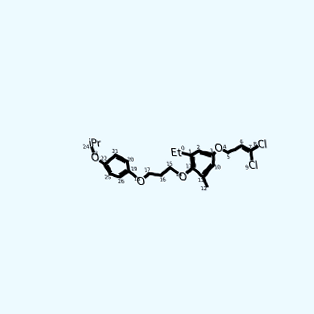 CCc1cc(OCC=C(Cl)Cl)cc(C)c1OCCCOc1ccc(OC(C)C)cc1